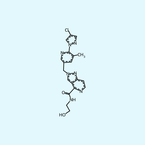 Cc1cc(Cn2cc3c(C(=O)NCCO)nccc3n2)cnc1-n1cc(Cl)cn1